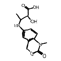 CC(Nc1ccc2c(c1)COC(=O)N2C)C(O)C(=O)O